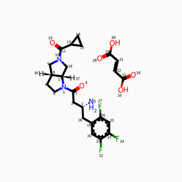 N[C@@H](CC(=O)N1CC[C@@H]2CN(C(=O)C3CC3)C[C@@H]21)Cc1cc(F)c(F)cc1F.O=C(O)/C=C/C(=O)O